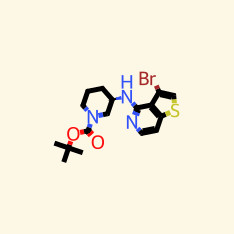 CC(C)(C)OC(=O)N1CCC[C@@H](Nc2nccc3scc(Br)c23)C1